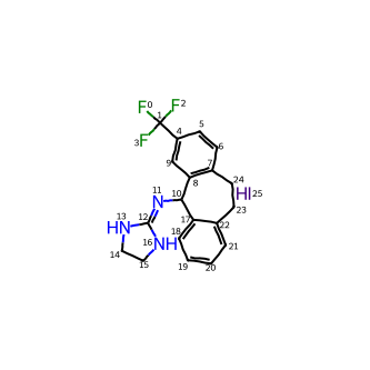 FC(F)(F)c1ccc2c(c1)C(N=C1NCCN1)c1ccccc1CC2.I